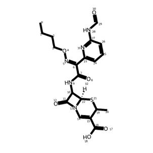 CCCCON=C(C(=O)NC1C(=O)N2C=C(C(=O)O)C(C)S[C@H]12)c1cccc(NC=O)n1